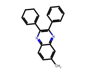 Cc1ccc2nc(C3=CCCC=C3)c(-c3ccccc3)nc2c1